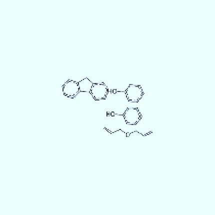 C=CCOCC=C.Oc1ccccc1.Oc1ccccc1.c1ccc2c(c1)Cc1ccccc1-2